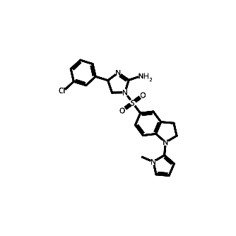 Cn1cccc1N1CCc2cc(S(=O)(=O)N3CC(c4cccc(Cl)c4)N=C3N)ccc21